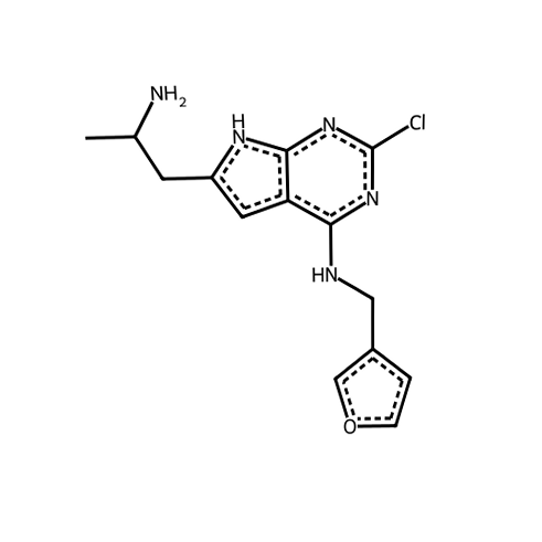 CC(N)Cc1cc2c(NCc3ccoc3)nc(Cl)nc2[nH]1